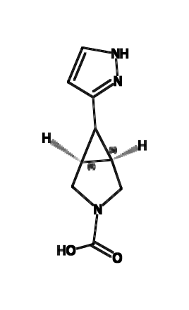 O=C(O)N1C[C@@H]2C(c3cc[nH]n3)[C@@H]2C1